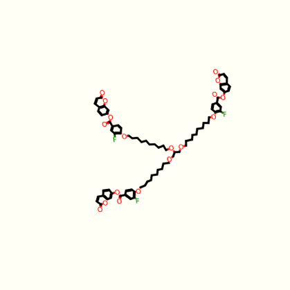 O=C(Oc1ccc2ccc(=O)oc2c1)c1ccc(OCCCCCCCCCCOCC(COCCCCCCCCCCOc2ccc(C(=O)Oc3ccc4ccc(=O)oc4c3)cc2F)OCCCCCCCCCCOc2ccc(C(=O)Oc3ccc4ccc(=O)oc4c3)cc2F)c(F)c1